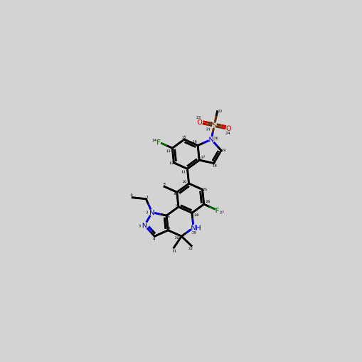 CCn1ncc2c1-c1c(C)c(-c3cc(F)cc4c3ccn4S(C)(=O)=O)cc(F)c1NC2(C)C